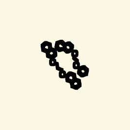 c1ccc(OCCOc2ccc3ccccc3c2)cc1.c1ccc2cc(OCCCOc3ccc4ccccc4c3)ccc2c1